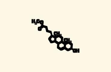 COC(=O)CCC[C@H]1CCC2C3CC=C4C[C@@H](O)CC[C@]4(C)C3CC[C@@]21C